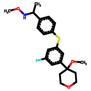 CONC(C)c1ccc(Sc2cc(F)cc(C3(OC)CCOCC3)c2)cc1